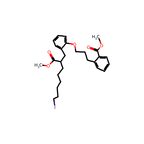 COC(=O)c1ccccc1CCCOc1ccccc1CC(CCCCCCI)C(=O)OC